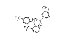 Cc1cncc(C(=O)NC(c2ccc(C(F)(F)F)cc2)c2ncccc2C(F)(F)F)c1